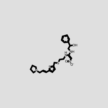 O=[N+]([O-])C=C(NCCSCc1ccc(C=CCN2CCCC2)s1)NCC(O)c1ccccc1